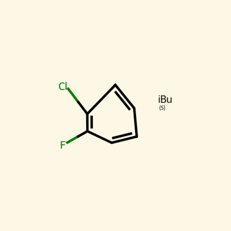 CC[C@H](C)c1ccc(F)c(Cl)c1